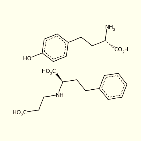 N[C@@H](CCc1ccc(O)cc1)C(=O)O.O=C(O)CCN[C@H](CCc1ccccc1)C(=O)O